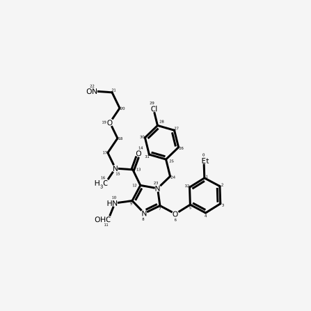 CCc1cccc(Oc2nc(NC=O)c(C(=O)N(C)CCOCCN=O)n2Cc2ccc(Cl)cc2)c1